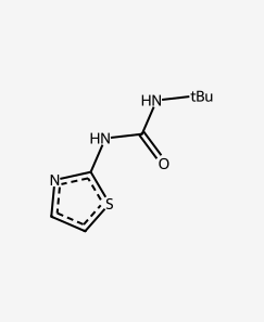 CC(C)(C)NC(=O)Nc1nccs1